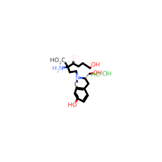 BC(CCCO)C(N)(CCN1Cc2cc(O)ccc2C[C@H]1CO)C(=O)O.Cl.Cl